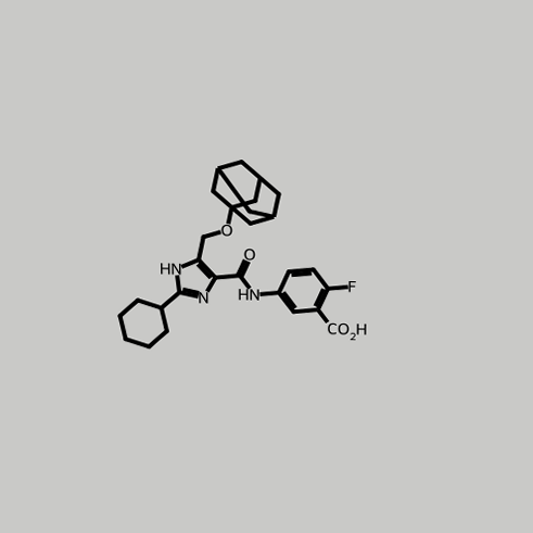 O=C(O)c1cc(NC(=O)c2nc(C3CCCCC3)[nH]c2COC23CC4CC(CC(C4)C2)C3)ccc1F